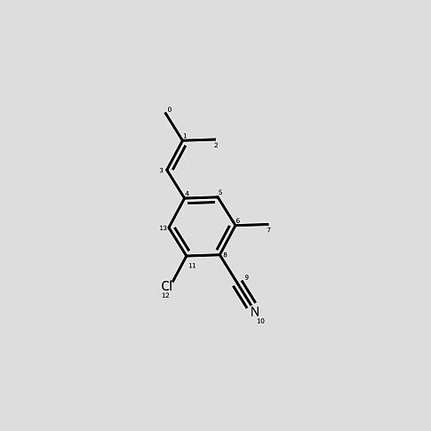 CC(C)=Cc1cc(C)c(C#N)c(Cl)c1